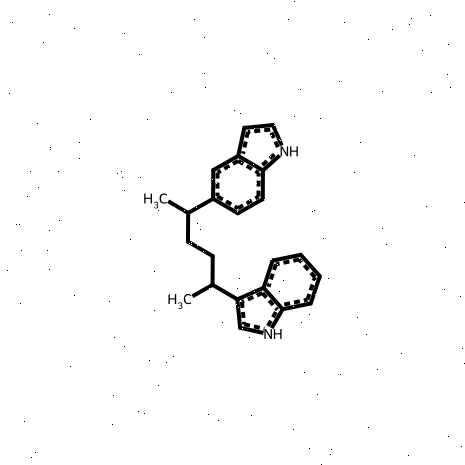 CC(CCC(C)c1c[nH]c2ccccc12)c1ccc2[nH]ccc2c1